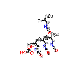 CCCCC(CC)CN=C=O.CCCCC(CC)CN=C=O.CCCCC(CC)CN=C=O.CCCCC(CC)CN=C=O.[O]=[Ti]([OH])[OH]